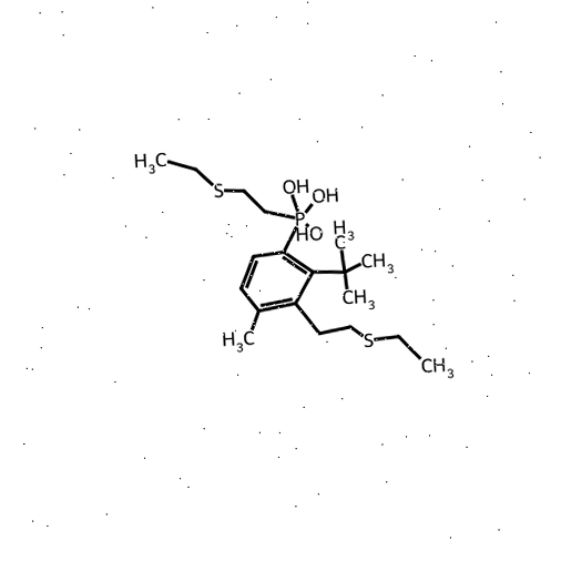 CCSCCc1c(C)ccc(P(O)(O)(O)CCSCC)c1C(C)(C)C